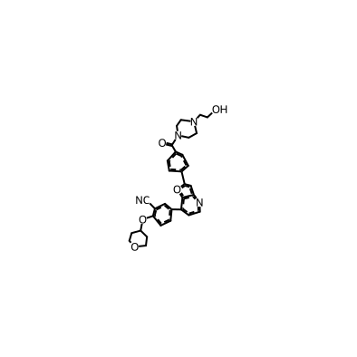 N#Cc1cc(-c2ccnc3cc(-c4ccc(C(=O)N5CCN(CCO)CC5)cc4)oc23)ccc1OC1CCOCC1